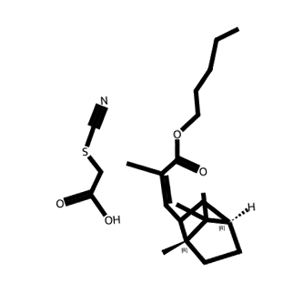 CCCCCOC(=O)C(C)=CC1C[C@H]2CC[C@@]1(C)C2(C)C.N#CSCC(=O)O